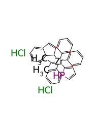 C[C](C)=[Zr]([c]1ccccc1)([c]1ccccc1)([c]1ccccc1)([c]1ccc[pH]1)[CH]1C=Cc2ccccc21.Cl.Cl